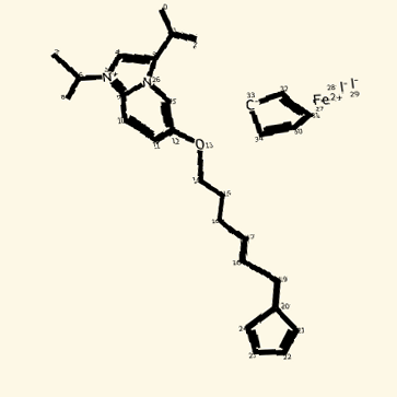 CC(C)c1c[n+](C(C)C)c2ccc(OCCCCCCC3C=CC=C3)cn12.[Fe+2].[I-].[I-].c1cc[cH-]c1